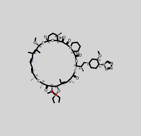 CC[Si](CC)(CC)O[C@@H]1/C(C)=C/[C@@H](C)C(=O)C[C@@H]([C@H](C)C[C@@H]2CC[C@H](n3cnnn3)[C@H](OC)C2)OC(=O)[C@@H]2CCCCN2C(=O)C(=O)[C@]2(O)O[C@@H](CC[C@H]2C)C[C@H](OC)/C(C)=C(C)/C=C/C=C/[C@@H](C)C[C@@H](C)C(=O)[C@@H]1OC